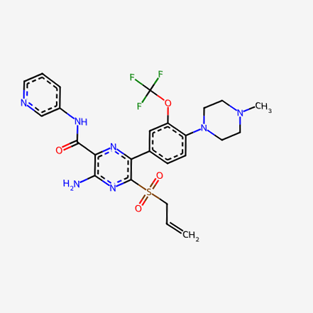 C=CCS(=O)(=O)c1nc(N)c(C(=O)Nc2cccnc2)nc1-c1ccc(N2CCN(C)CC2)c(OC(F)(F)F)c1